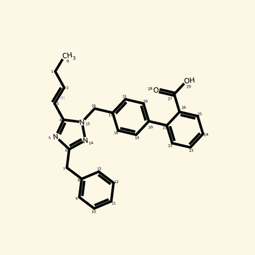 CC/C=C/c1nc(Cc2ccccc2)nn1Cc1ccc(-c2ccccc2C(=O)O)cc1